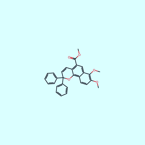 COC(=O)c1cc2c(OC)c(OC)ccc2c2c1C=CC(c1ccccc1)(c1ccccc1)O2